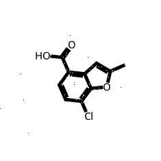 Cc1cc2c(C(=O)O)ccc(Cl)c2o1